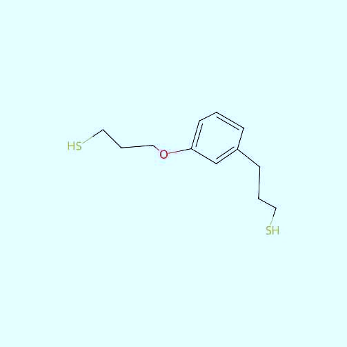 SCCCOc1cccc(CCCS)c1